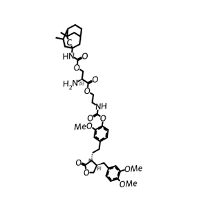 COc1ccc(C[C@H]2COC(=O)[C@@H]2CCc2ccc(OC(=O)NCCOC(=O)[C@@H](N)COC(=O)NC34CC5CCC(C(C)C3)C(C)(C5)C4)c(OC)c2)cc1OC